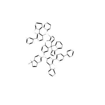 CC1(C)C=Cc2cc(N(c3ccc4c(c3)C3(c5ccccc5-c5ccccc53)c3cccc(N(c5ccccc5)c5ccc(-c6ccccc6)c6sc7ccccc7c56)c3S4)c3cc(-c4ccc(-c5ccccc5)cc4)c4sc5ccccc5c4c3)ccc21